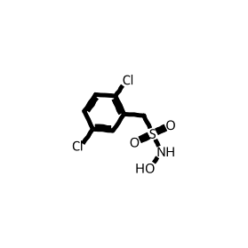 O=S(=O)(Cc1cc(Cl)ccc1Cl)NO